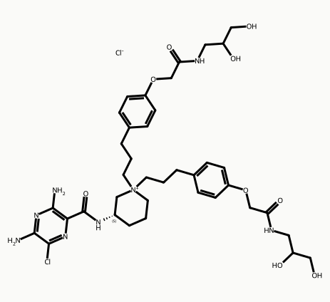 Nc1nc(N)c(C(=O)N[C@H]2CCC[N+](CCCc3ccc(OCC(=O)NCC(O)CO)cc3)(CCCc3ccc(OCC(=O)NCC(O)CO)cc3)C2)nc1Cl.[Cl-]